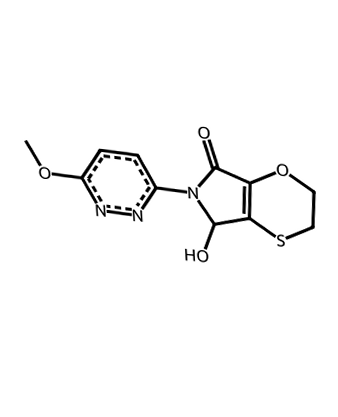 COc1ccc(N2C(=O)C3=C(SCCO3)C2O)nn1